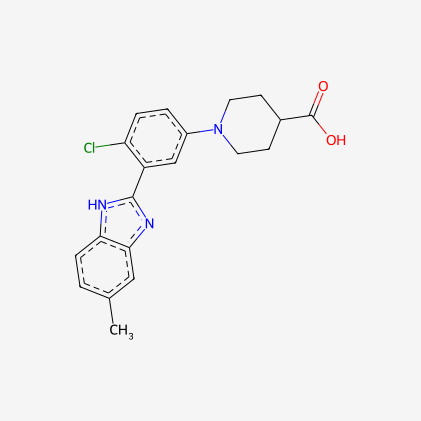 Cc1ccc2[nH]c(-c3cc(N4CCC(C(=O)O)CC4)ccc3Cl)nc2c1